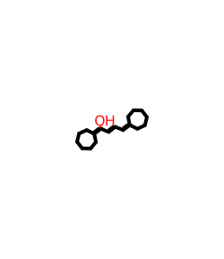 OC(C=CC=C1CCCCCC1)=C1CCCCCC1